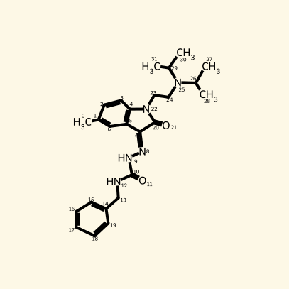 Cc1ccc2c(c1)/C(=N\NC(=O)NCc1ccccc1)C(=O)N2CCN(C(C)C)C(C)C